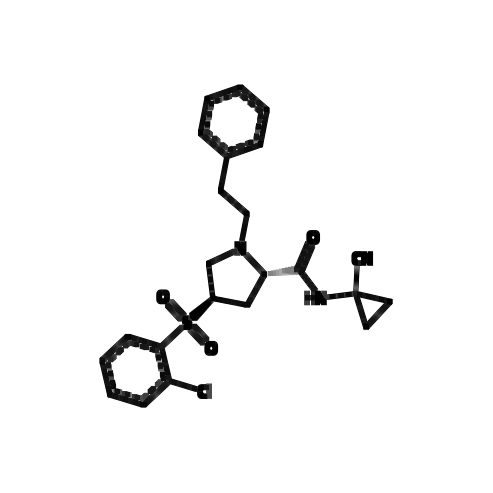 N#CC1(NC(=O)[C@@H]2C[C@@H](S(=O)(=O)c3ccccc3Cl)CN2CCc2ccccc2)CC1